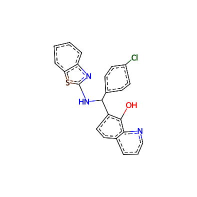 Oc1c(C(Nc2nc3ccccc3s2)c2ccc(Cl)cc2)ccc2cccnc12